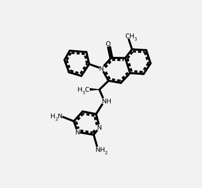 Cc1cccc2cc([C@H](C)Nc3cc(N)nc(N)n3)n(-c3ccccc3)c(=O)c12